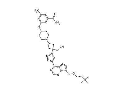 C[Si](C)(C)CCOCn1ccc2c(-c3cnn([C@]4(CC#N)C[C@@H](N5CCC(Oc6cc(C(N)=O)cc(C(F)(F)F)n6)CC5)C4)c3)ncnc21